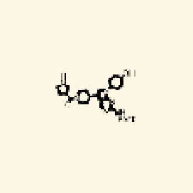 CCC[C@H](C)Nc1ncc2c(C3CCN(C(=O)[C@H]4CCNC4)CC3)cn(C3CCC(O)CC3)c2n1